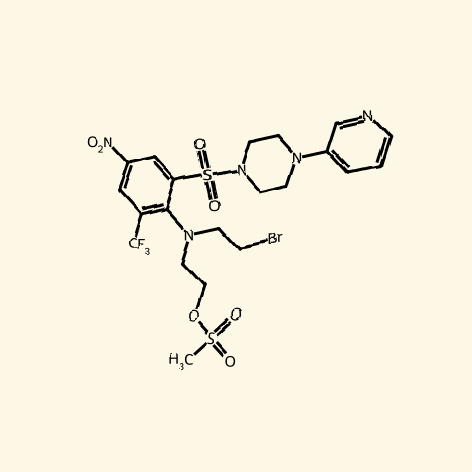 CS(=O)(=O)OCCN(CCBr)c1c(C(F)(F)F)cc([N+](=O)[O-])cc1S(=O)(=O)N1CCN(c2cccnc2)CC1